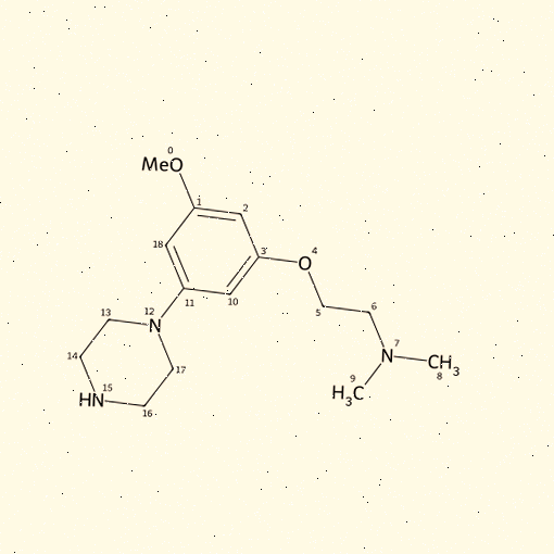 COc1cc(OCCN(C)C)cc(N2CCNCC2)c1